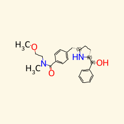 COCCN(C)C(=O)c1ccc(C[C@@H]2CC[C@H]([C@H](O)c3ccccc3)N2)cc1